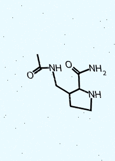 CC(=O)NCC1CCNC1C(N)=O